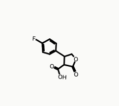 O=C(O)C1C(=O)OCC1c1ccc(F)cc1